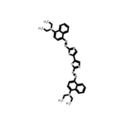 CCN(CC)c1ccc(/N=N/c2ncc(-c3cnc(/N=N/c4ccc(N(CC)CC)c5ccccc45)s3)s2)c2ccccc12